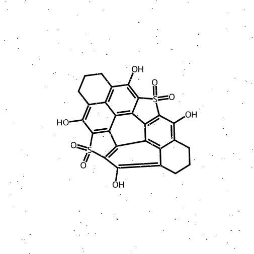 O=S1(=O)c2c(O)c3c4c(c(O)c5c6c7c(c(O)c8c9c(c(O)c1c(c2c46)c97)CCC8)S5(=O)=O)CCC3